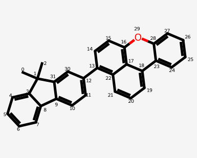 CC1(C)c2ccccc2-c2ccc(-c3ccc4c5c(cccc35)-c3ccccc3O4)cc21